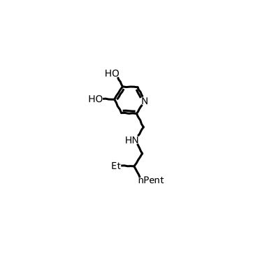 CCCCCC(CC)CNCc1cc(O)c(O)cn1